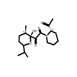 CC(=O)[C@@H]1CCCCN1C(=O)C(=O)[C@]1(O)OC(C(C)C)CC[C@H]1C